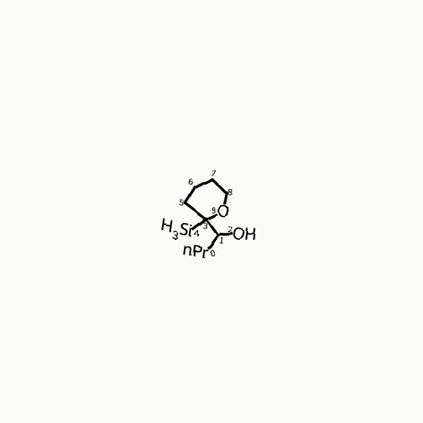 CCCC(O)C1([SiH3])CCCCO1